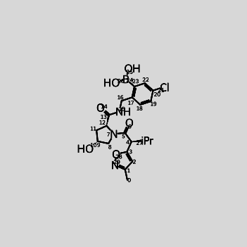 Cc1cc([C@@H](C(=O)N2C[C@H](O)C[C@H]2C(=O)NCc2ccc(Cl)cc2B(O)O)C(C)C)on1